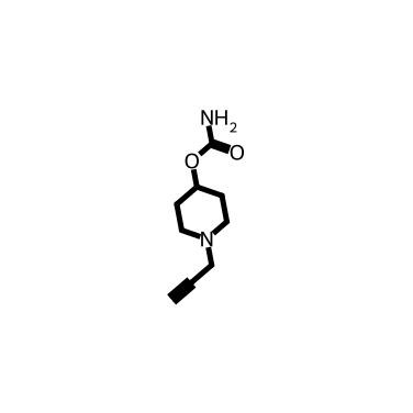 C#CCN1CCC(OC(N)=O)CC1